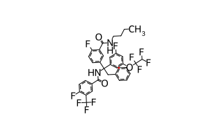 CCCCNC(=O)c1cc(C(Cc2ccccc2)(NC(=O)c2ccc(F)c(C(F)(F)F)c2)c2cc(F)cc(OC(F)(F)C(F)F)c2)ccc1F